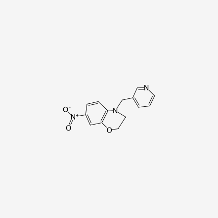 O=[N+]([O-])c1ccc2c(c1)OCCN2Cc1cccnc1